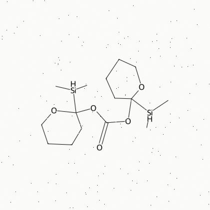 C[SiH](C)C1(OC(=O)OC2([SiH](C)C)CCCCO2)CCCCO1